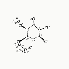 Cl[C@H]1[C@H](Cl)[C@@H](Cl)[C@@H](Cl)[C@H](Cl)[C@H]1Cl.O.O=[N+]([O-])O.[Zn]